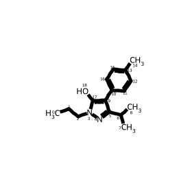 CCCn1nc(C(C)C)c(-c2ccc(C)cc2)c1O